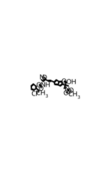 CC(OC(=O)Nc1cnoc1C#CC1=CC2=CC(C3(C(=O)O)CN(S(C)(=O)=O)C3)=CC2=C1)c1ccccc1Cl